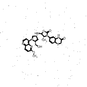 COc1ccc2nccc(N3C[C@H](NC4OC(=O)N(c5ccc6c(c5)NC(=O)CS6)[C@@H]4C)C[C@H]3CO)c2n1